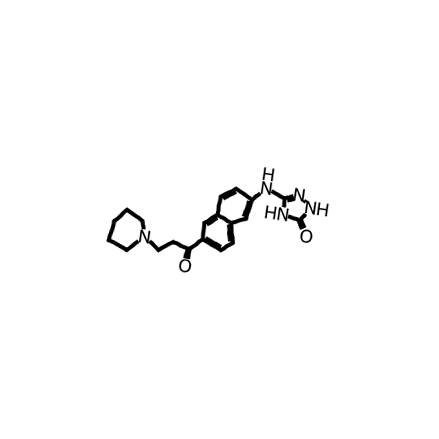 O=C(CCN1CCCCC1)c1ccc2cc(Nc3n[nH]c(=O)[nH]3)ccc2c1